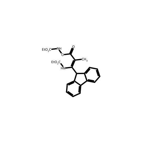 CCOC(=O)NOC(=O)C(C)=C(NC(=O)OCC)C1c2ccccc2-c2ccccc21